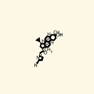 C[C@@]1(O)CC[C@H]2[C@H](CC[C@@H]3[C@@H]2CC[C@@]2(C)[C@H]3[C@H](C3CC3)C[C@@H]2C(=O)Cn2ccc(C#N)n2)C1